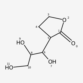 O=C1OCCC1C(O)C(O)CO